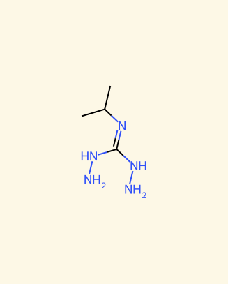 CC(C)N=C(NN)NN